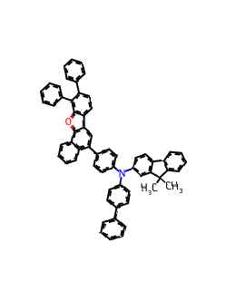 CC1(C)c2ccccc2-c2ccc(N(c3ccc(-c4ccccc4)cc3)c3ccc(-c4cc5c6ccc(-c7ccccc7)c(-c7ccccc7)c6oc5c5ccccc45)cc3)cc21